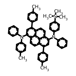 Cc1ccc(-c2cc(N(c3ccccc3)c3ccc(C)cc3)c3ccc4c(-c5ccc(C)cc5)cc(N(c5ccccc5)c5ccc([Si](C)(C)C)cc5)c5ccc2c3c45)cc1